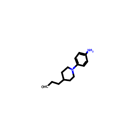 Nc1ccc(N2CCC(CCC=O)CC2)cc1